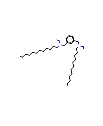 CCCCCCCCCCCCN(CC)Cc1cccc(CN(CC)CCCCCCCCCCCC)c1